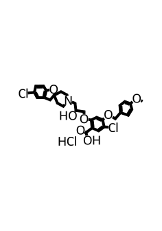 COc1ccc(COc2cc(OC[C@H](O)CN3CCC4(CC3)Cc3cc(Cl)ccc3O4)c(C(=O)O)cc2Cl)cc1.Cl